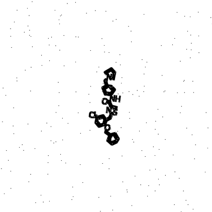 O=C(Nc1ccc(CN2CCCC2)cc1)c1csc(Cc2cc(Cl)ccc2OCc2ccccc2)n1